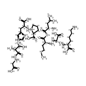 CSCC[C@H](N)C(=O)OC(=O)[C@@H](N)CC(C)C.C[C@@H](O)[C@H](N)C(=O)O.C[C@H](N)C(=O)O.NCC(=O)O.NCCCC[C@H](N)C(=O)O.N[C@@H](Cc1c[nH]cn1)C(=O)O.O=C(O)[C@@H]1CCCN1